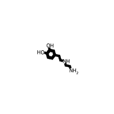 NCCNCCc1ccc(O)c(O)c1